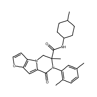 Cc1ccc(C)c(N2C(=O)c3cc4occc4n3CC2(C)C(=O)NC2CCC(C)CC2)c1